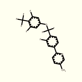 Cc1ccc(-c2ccc(C(F)(F)Oc3cc(F)c(C(F)(F)F)c(F)c3)c(F)c2)nc1